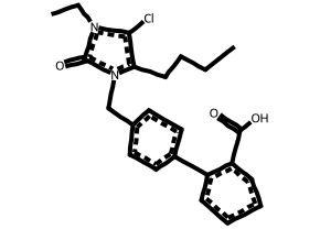 CCCCc1c(Cl)n(CC)c(=O)n1Cc1ccc(-c2ccccc2C(=O)O)cc1